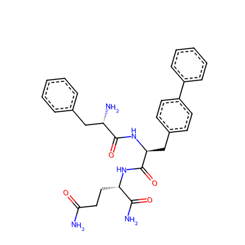 NC(=O)CC[C@H](NC(=O)[C@H](Cc1ccc(-c2ccccc2)cc1)NC(=O)[C@@H](N)Cc1ccccc1)C(N)=O